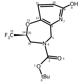 CC(C)(C)OC(=O)N1Cc2nc(O)ccc2O[C@H](C(F)(F)F)C1